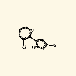 Clc1cccnc1-c1cc(Br)c[nH]1